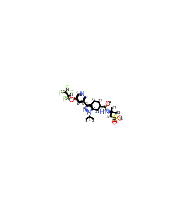 CC(C)n1nc(-c2cncc(OC(F)(F)C(F)F)c2)c2c1C[C@H](C(=O)NC1(C)CS(=O)(=O)C1)CC2